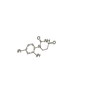 CC(C)c1ccc(N2CCC(=O)NC2=O)c(C(C)C)c1